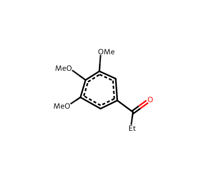 CCC(=O)c1cc(OC)c(OC)c(OC)c1